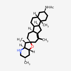 CC(=O)N[C@H]1CC[C@@]2(C)[C@H](CCC3[C@@H]4CC[C@@]5(CC(C)=C4C[C@@H]32)O[C@@H]2C[C@H](C)CN[C@H]2[C@H]5C)C1